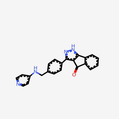 O=C1c2ccccc2-c2[nH]nc(-c3ccc(CNc4ccncc4)cc3)c21